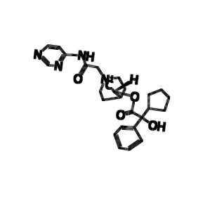 O=C(C[N+]12CCC(CC1)[C@@H](OC(=O)C(O)(c1ccccc1)C1CCCC1)C2)Nc1ccncn1